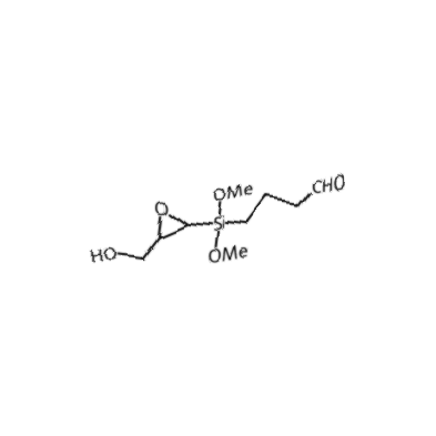 CO[Si](CCCC=O)(OC)C1OC1CO